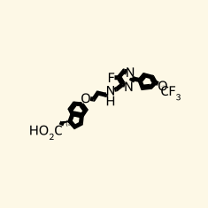 O=C(O)C[C@@H]1CCc2cc(OCCCNCc3nc(-c4ccc(OC(F)(F)F)cc4)ncc3F)ccc21